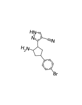 N#Cc1c[nH]nc1C1CC(c2ccc(Br)cc2)CC1N